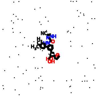 CC1(C)CC=C(c2cc([C@@H](CCCO)C[C@@]3(CO)CCCO3)ccc2NC(=O)c2nc(C#N)c[nH]2)CC1